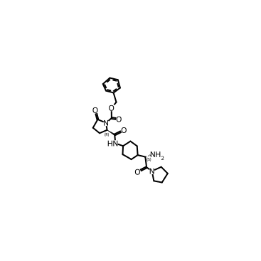 N[C@H](C(=O)N1CCCC1)C1CCC(NC(=O)[C@H]2CCC(=O)N2C(=O)OCc2ccccc2)CC1